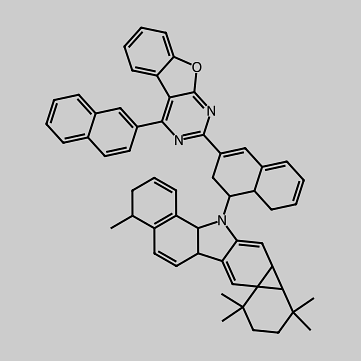 CC1CC=CC2=C1C=CC1C3=CC45C(C=C3N(C3CC(c6nc(-c7ccc8ccccc8c7)c7c(n6)oc6ccccc67)=CC6=CC=CCC63)C21)C4C(C)(C)CCC5(C)C